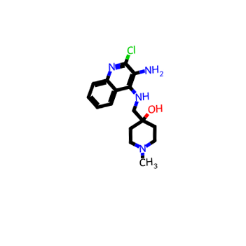 CN1CCC(O)(CNc2c(N)c(Cl)nc3ccccc23)CC1